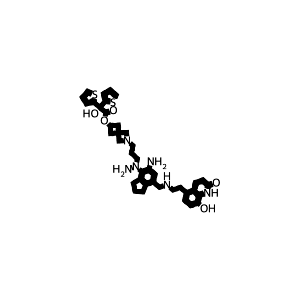 Nc1cc(CNCCc2ccc(O)c3[nH]c(=O)ccc23)c2c(c1N(N)CCCN1CC3(CC(OC(=O)C(O)(c4cccs4)c4cccs4)C3)C1)CCC2